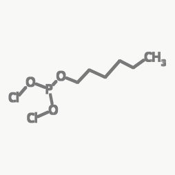 CCCCCCOP(OCl)OCl